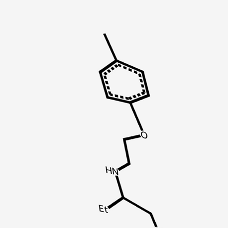 CCC(CO)NCCOc1ccc(C)cc1